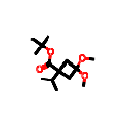 COC1(OC)CC(C(=O)OC(C)(C)C)(C(C)C)C1